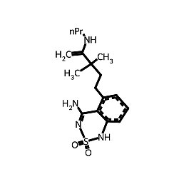 C=C(NCCC)C(C)(C)CCc1cccc2c1C(N)=NS(=O)(=O)N2